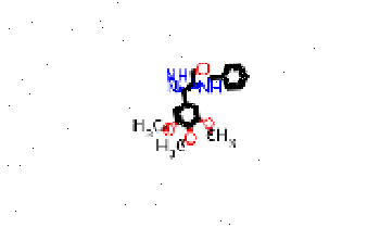 COc1cc(/C(=N/N)C2COC(c3ccccc3)N2)cc(OC)c1OC